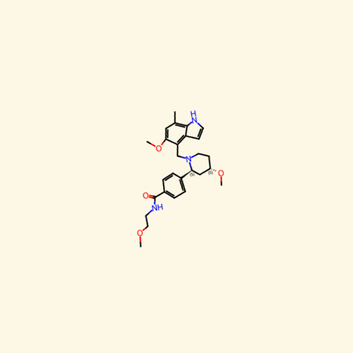 COCCNC(=O)c1ccc([C@@H]2C[C@@H](OC)CCN2Cc2c(OC)cc(C)c3[nH]ccc23)cc1